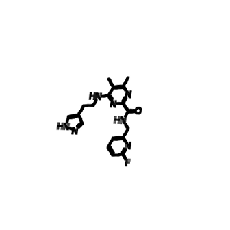 Cc1nc(C(=O)NCc2cccc(F)n2)nc(NCCc2cn[nH]c2)c1C